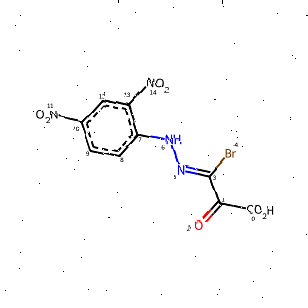 O=C(O)C(=O)C(Br)=NNc1ccc([N+](=O)[O-])cc1[N+](=O)[O-]